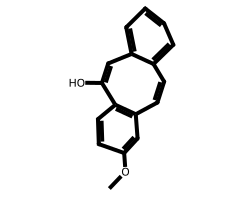 COc1ccc2c(c1)/C=C\c1ccccc1/C=C\2O